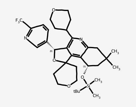 CC1(C)Cc2nc(C3CCOCC3)c3c(c2[C@@H](O[Si](C)(C)C(C)(C)C)C1)C1(CCOCC1)O[C@@H]3c1ccc(C(F)(F)F)nc1